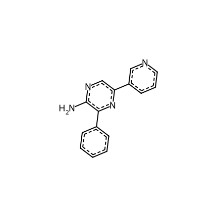 Nc1ncc(-c2cccnc2)nc1-c1ccccc1